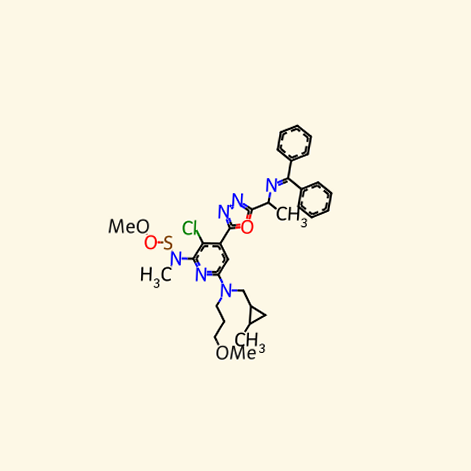 COCCCN(CC1CC1C)c1cc(-c2nnc(C(C)N=C(c3ccccc3)c3ccccc3)o2)c(Cl)c(N(C)SOOC)n1